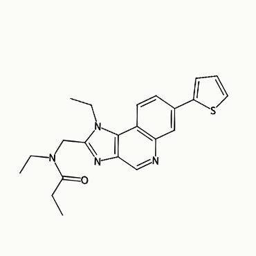 CCC(=O)N(CC)Cc1nc2cnc3cc(-c4cccs4)ccc3c2n1CC